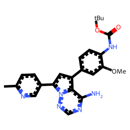 COc1cc(-c2cc(-c3ccc(C)nc3)n3ncnc(N)c23)ccc1NC(=O)OC(C)(C)C